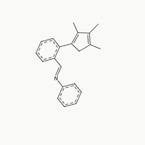 CC1=C(C)C(C)=C(c2ccccc2C=Nc2ccccc2)C1